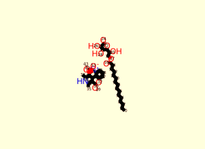 CCCCCCCCCCCCCCCC(=O)OC[C@H](O)[C@H]1OC(=O)C(O)=C1O.COC(=O)C1=C(C)NC(C)=C(C(=O)OC)C1c1ccccc1[N+](=O)[O-]